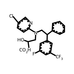 O=C(O)C(O)CN(CC(c1ccccc1)c1cc(F)cc(C(F)(F)F)c1)c1ccc(Cl)cn1